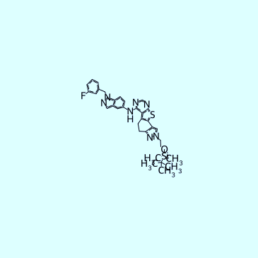 CC(C)(C)[Si](C)(C)OCCn1cc2c(n1)CCc1c-2sc2ncnc(Nc3ccc4c(cnn4Cc4cccc(F)c4)c3)c12